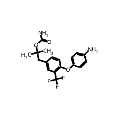 CC(C)(Cc1ccc(Oc2ccc(N)cc2)c(C(F)(F)F)c1)OC(N)=O